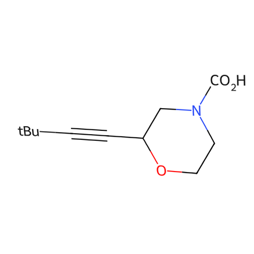 CC(C)(C)C#CC1CN(C(=O)O)CCO1